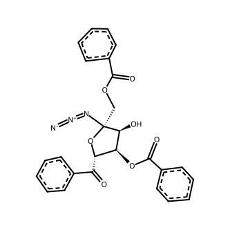 [N-]=[N+]=N[C@]1(COC(=O)c2ccccc2)O[C@@H](C(=O)c2ccccc2)[C@H](OC(=O)c2ccccc2)[C@@H]1O